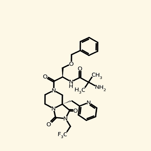 CC(C)(N)C(=O)N[C@H](COCc1ccccc1)C(=O)N1CCN2C(=O)N(CC(F)(F)F)C(=O)[C@]2(Cc2ccccn2)C1